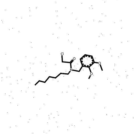 CCCCCCCN(Cc1cccc(OC)c1OC)C(=O)CCl